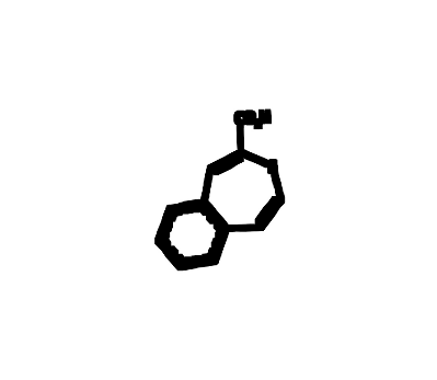 O=C(O)C1=Cc2ccccc2C=CS1